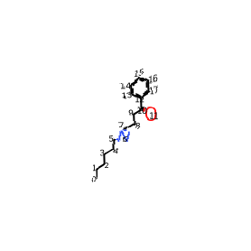 CCCCCCN=CCCC(=O)c1ccccc1